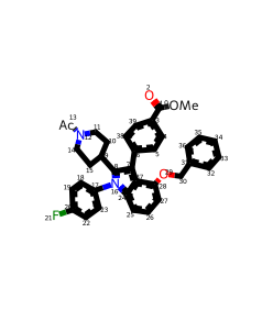 COC(=O)c1ccc(-c2c(C3CCN(C(C)=O)CC3)n(-c3ccc(F)cc3)c3cccc(OCc4ccccc4)c23)cc1